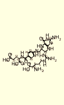 N=C(N)NCCC[C@H](N)C(=O)O.Nc1nc2c(c(=O)[nH]1)NC(CNc1ccc(C(=O)NC(CCC(=O)O)C(=O)O)cc1)CN2